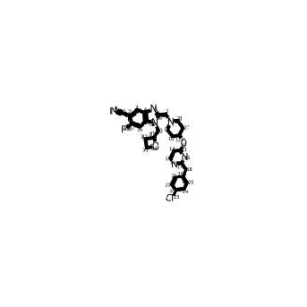 N#Cc1cc2nc(CN3CCC(Oc4ccnc(Cc5ccc(Cl)cc5)n4)CC3)n(CC3CCO3)c2cc1F